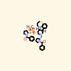 COS(=O)(=O)C[C@H]1CCCN1C(=O)c1ccccc1.O=C(c1ccccc1)N1CCC[C@@H]1CN1CC[C@H]2[C@@H](C1)c1cccc3c1N2CCCS3